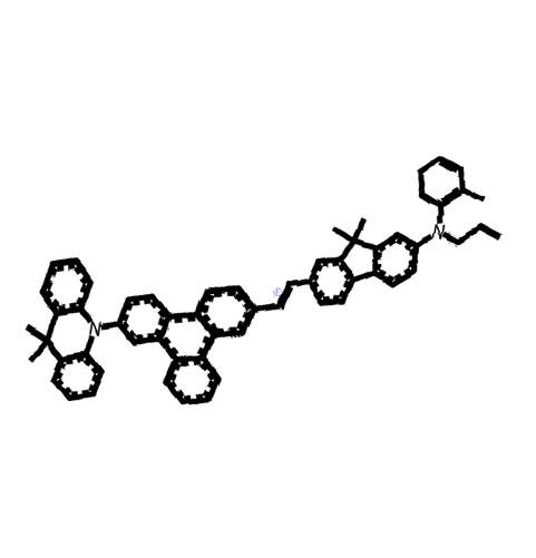 CCCN(C1=C(C)C=CCC1)c1ccc2c(c1)C(C)(C)c1cc(/C=C/c3ccc4c5ccc(N6c7ccccc7C(C)(C)c7ccccc76)cc5c5ccccc5c4c3)ccc1-2